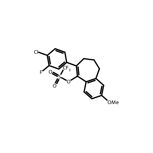 COc1ccc2c(c1)CCCC(c1ccc(Cl)c(F)c1)=C2OS(=O)(=O)C(F)(F)F